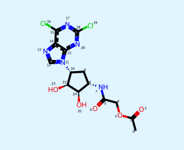 CC(=O)OCC(=O)N[C@H]1C[C@@H](n2cnc3c(Cl)nc(Cl)nc32)[C@H](O)[C@@H]1O